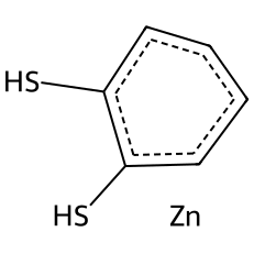 Sc1ccccc1S.[Zn]